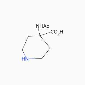 CC(=O)NC1(C(=O)O)CCNCC1